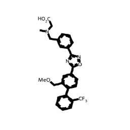 COCc1cc(-c2nc(-c3cccc(CN(C)CC(=O)O)c3)no2)ccc1-c1ccccc1C(F)(F)F